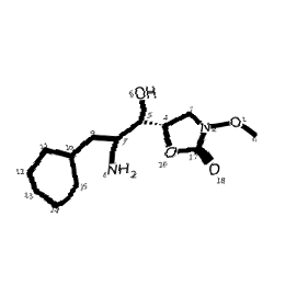 CON1C[C@@H](C(O)C(N)CC2CCCCC2)OC1=O